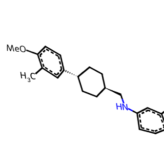 COc1ccc([C@H]2CC[C@H](CNc3cccc(C#N)c3)CC2)cc1C